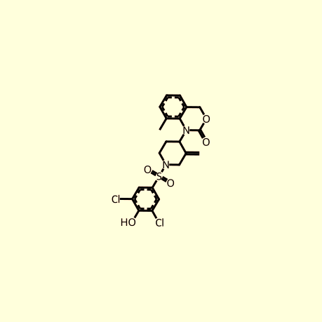 C=C1CN(S(=O)(=O)c2cc(Cl)c(O)c(Cl)c2)CCC1N1C(=O)OCc2cccc(C)c21